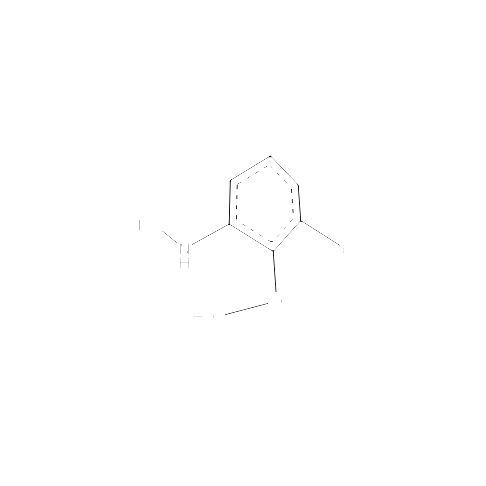 CNc1cccc(Cl)c1OC